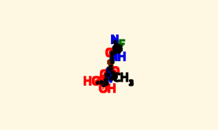 Cc1cn([C@H]2C[C@H](O)[C@@H](CO)O2)c(=O)n(CCSCCNC(=O)c2ccc(F)c(C#N)c2)c1=O